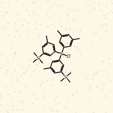 Cc1cc(C)cc([Si](Cl)(c2cc(C)cc([Si](C)(C)C)c2)c2cc(C)cc([Si](C)(C)C)c2)c1